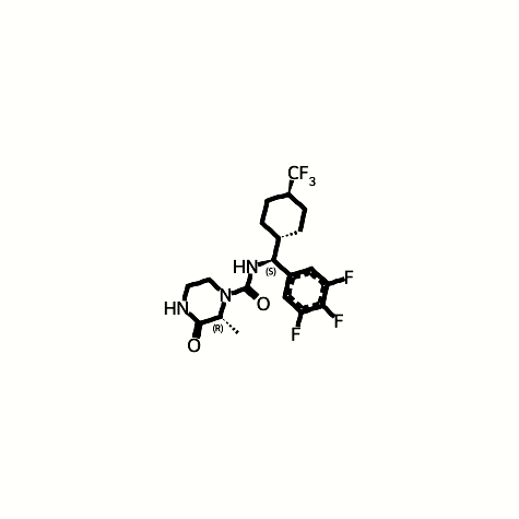 C[C@@H]1C(=O)NCCN1C(=O)N[C@H](c1cc(F)c(F)c(F)c1)[C@H]1CC[C@H](C(F)(F)F)CC1